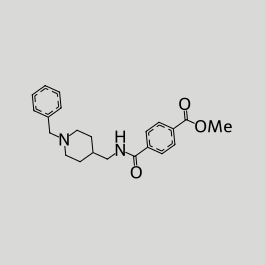 COC(=O)c1ccc(C(=O)NCC2CCN(Cc3ccccc3)CC2)cc1